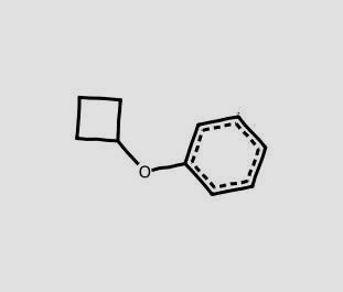 [c]1cccc(OC2CCC2)c1